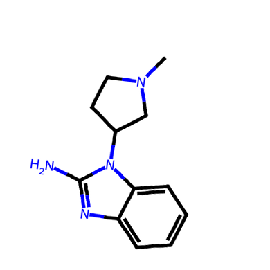 CN1CCC(n2c(N)nc3ccccc32)C1